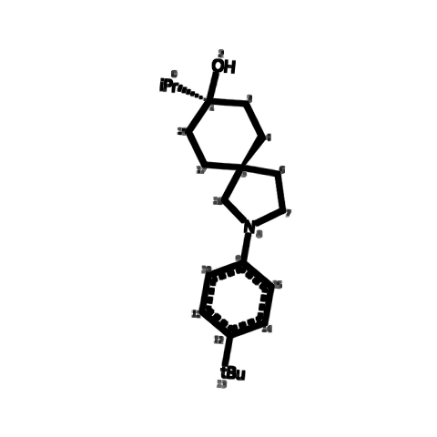 CC(C)[C@]1(O)CC[C@]2(CCN(c3ccc(C(C)(C)C)cc3)C2)CC1